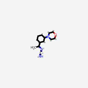 CC(N=C=N)C1CCCC(N2CCOCC2)C1